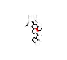 Cc1ncccc1C(=O)N1CCC(C2SC(C)CNc3[nH]nc(-c4ccccn4)c32)CC1